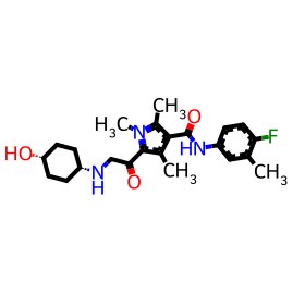 Cc1cc(NC(=O)c2c(C)c(C(=O)CN[C@H]3CC[C@@H](O)CC3)n(C)c2C)ccc1F